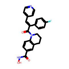 O=C(NO)c1ccc2c(c1)CCCN2C(=O)C(=Cc1ccncc1)c1ccc(F)cc1